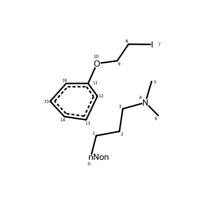 CCCCCCCCCCCCN(C)C.ICCOc1ccccc1